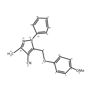 COc1ccc(OCc2c(C#N)c(C)nn2-c2ccccc2)cc1